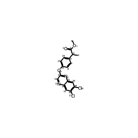 COC(=O)C(C)c1ccc(Oc2cnc3cc(Cl)c(Cl)cc3n2)cc1